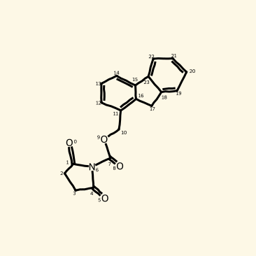 O=C1CCC(=O)N1C(=O)OCc1cccc2c1Cc1ccccc1-2